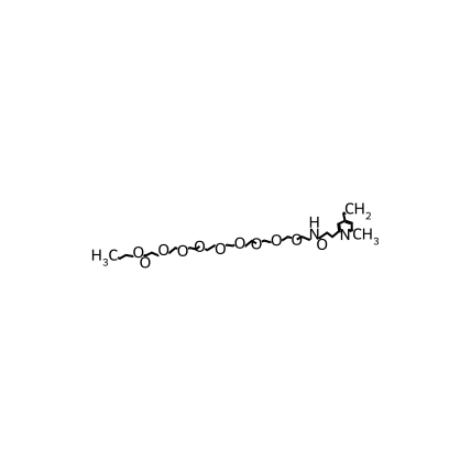 C=Cc1cc(C)nc(CCC(=O)NCCOCCOCCOCCOCCOCCOCCOCCOCCC(=O)OCCCC)c1